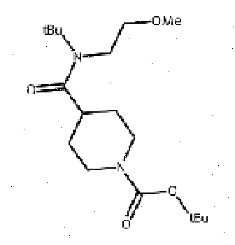 COCCN(C(=O)C1CCN(C(=O)OC(C)(C)C)CC1)C(C)(C)C